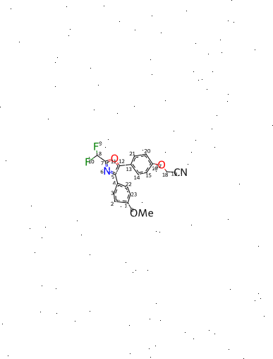 COc1ccc(-c2nc(C(F)F)oc2-c2ccc(OCC#N)cc2)cc1